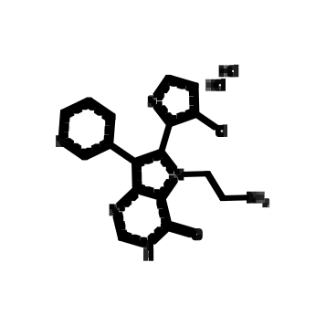 Cl.Cl.NCCn1c(-c2sccc2Cl)c(-c2cccnc2)c2nc[nH]c(=O)c21